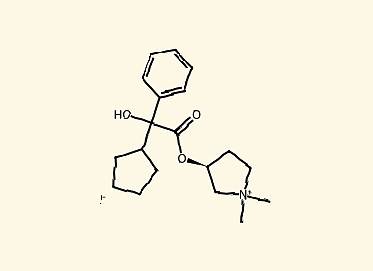 C[N+]1(C)CC[C@H](OC(=O)C(O)(c2ccccc2)C2CCCC2)C1.[I-]